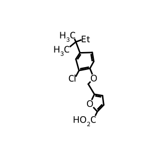 CCC(C)(C)c1ccc(OCc2ccc(C(=O)O)o2)c(Cl)c1